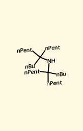 CCCCCC(CCCC)(CCCCC)NC(CCCC)(CCCCC)CCCCC